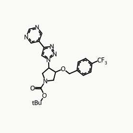 CC(C)(C)OC(=O)N1CC(OCc2ccc(C(F)(F)F)cc2)C(n2cc(-c3cncnc3)nn2)C1